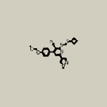 COCOc1ccc(-c2cc(-c3cnn(C)c3)nc(SCSC3CCC3)c2C#N)cc1